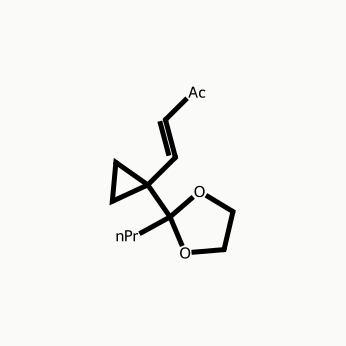 CCCC1(C2(C=CC(C)=O)CC2)OCCO1